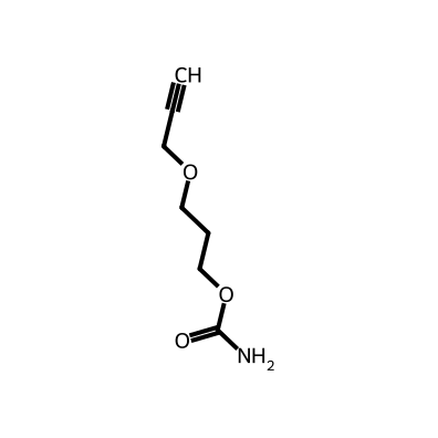 C#CCOCCCOC(N)=O